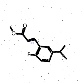 COC(=O)/C=C/c1cc(C(C)C)ccc1F